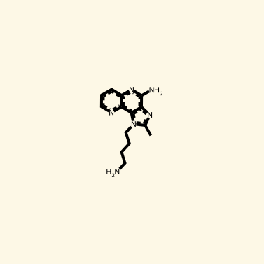 Cc1nc2c(N)nc3cccnc3c2n1CCCCN